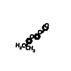 CC(C)c1ccc(Oc2cccc(OCC3CCOCC3)c2)cc1